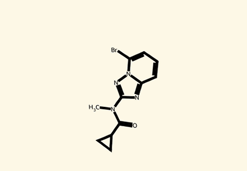 CN(C(=O)C1CC1)c1nc2cccc(Br)n2n1